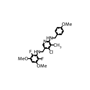 COc1ccc(CNc2ncc(CNc3c(F)c(OC)cc(OC)c3F)c(Cl)c2C)cc1